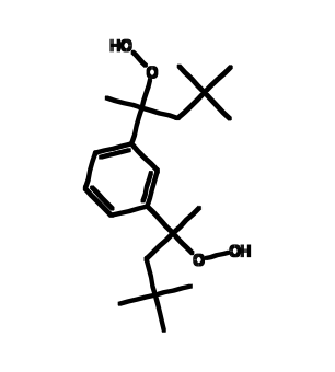 CC(C)(C)CC(C)(OO)c1cccc(C(C)(CC(C)(C)C)OO)c1